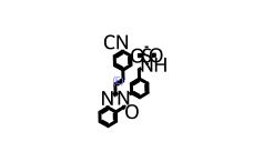 CS(=O)(=O)NCc1cccc(-n2c(/C=C/c3ccc(C#N)cc3)nc3ccccc3c2=O)c1